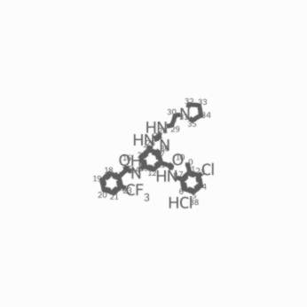 Cc1c(Cl)cccc1NC(=O)c1cc(NC(=O)c2ccccc2C(F)(F)F)cc2[nH]c(NCCN3CCCC3)nc12.Cl